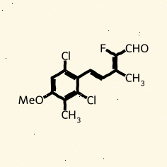 COc1cc(Cl)c(C=CC(C)=C(F)C=O)c(Cl)c1C